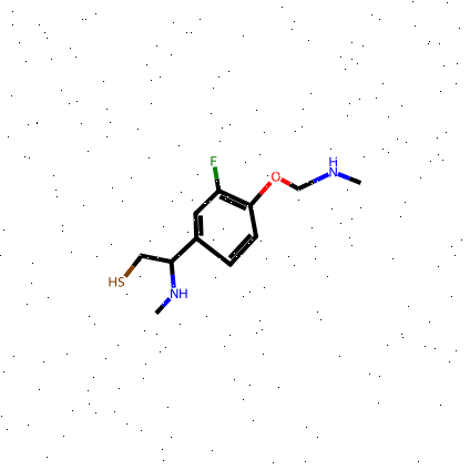 CNCOc1ccc(C(CS)NC)cc1F